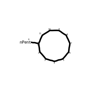 CCCCCC1CCCCCCCCCC1